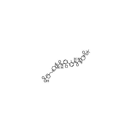 Cc1c(NC(=O)c2nc3c(n2C)CCN(C(=O)OC(C)(C)C)C3)cccc1-c1cccc(NC(=O)c2nc3c(n2C)CCN(CCC24CCC(C(=O)O)(CC2)C4)C3)c1Cl